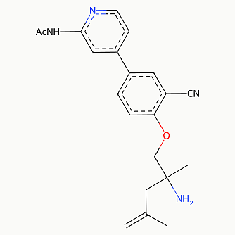 C=C(C)CC(C)(N)COc1ccc(-c2ccnc(NC(C)=O)c2)cc1C#N